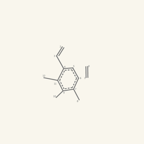 C=C.C=Cc1ccc(C)c(C)c1C